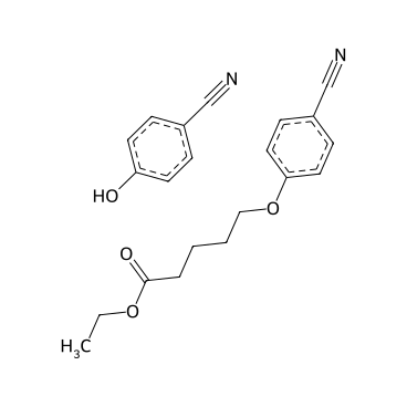 CCOC(=O)CCCCOc1ccc(C#N)cc1.N#Cc1ccc(O)cc1